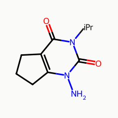 CC(C)n1c(=O)c2c(n(N)c1=O)CCC2